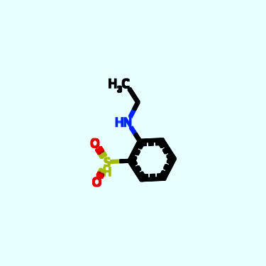 CCNc1ccccc1[SH](=O)=O